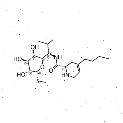 CCCCC1=CCN[C@H](C(=O)N[C@H](C(C)C)[C@H]2O[C@H](SC)[C@H](O)[C@@H](O)[C@H]2O)C1